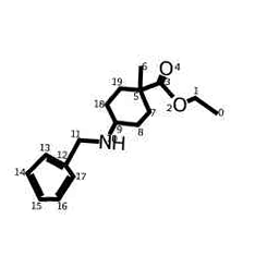 CCOC(=O)C1(C)CCC(NCc2ccccc2)CC1